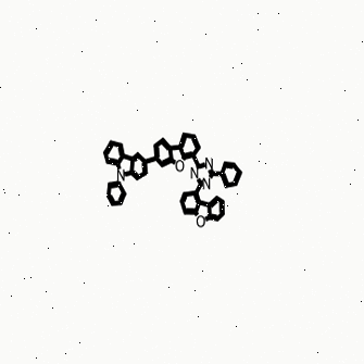 c1ccc(-c2nc(-c3cccc4c3oc3cc(-c5ccc6c(c5)c5ccccc5n6-c5ccccc5)ccc34)nc(-c3cccc4oc5ccccc5c34)n2)cc1